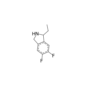 CCC1NCc2cc(F)c(F)cc21